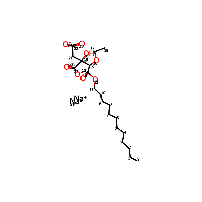 CCCCCCCCCCCCOC(=O)C(OCC)C(O)(CC(=O)[O-])C(=O)[O-].[Na+].[Na+]